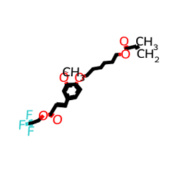 C=C(C)C(=O)OCCCCCCOc1ccc(/C=C/C(=O)OCC(F)(F)F)cc1OC